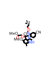 COC(=O)COC(c1c(OC)cc(C)c2c1CCN2)(c1nc2ccc(C#N)cc2n1COCC[Si](C)(C)C)C(F)(F)F